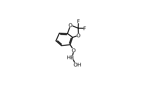 OBOc1cccc2c1OC(F)(F)O2